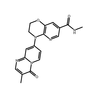 CNC(=O)c1cnc2c(c1)OCCN2c1ccn2c(=O)c(C)cnc2c1